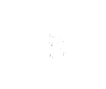 CN1CCCCC/C1=N/c1cccc(F)c1C#N